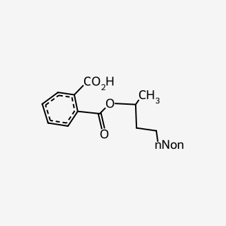 CCCCCCCCCCCC(C)OC(=O)c1ccccc1C(=O)O